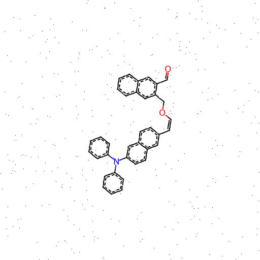 O=Cc1cc2ccccc2cc1CO/C=C\c1ccc2cc(N(c3ccccc3)c3ccccc3)ccc2c1